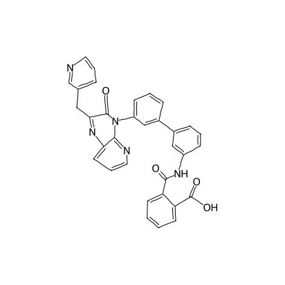 O=C(O)c1ccccc1C(=O)Nc1cccc(-c2cccc(-n3c(=O)c(Cc4cccnc4)nc4cccnc43)c2)c1